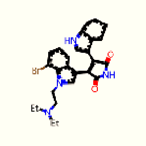 CCN(CC)CCn1cc(C2=C(c3c[nH]c4ccccc34)C(=O)NC2=O)c2cccc(Br)c21